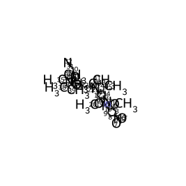 COc1cc([N+](=O)[O-])ccc1/N=N/c1cc2c(cc1OC)N(CCCCOP(OCCC#N)N(C(C)C)C(C)C)C(C)(C)CC2C